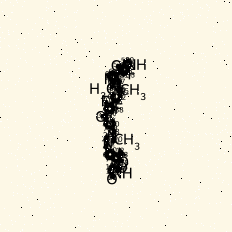 C[C@H]1CN(Cc2ccc3c(c2)C2(CC2)C(=O)N3[C@@H]2CCC(=O)NC2=O)CCN1CC1CCN(C(=O)c2cc(F)c(C3=CCN([C@@H](C)c4cc5c(-n6cc(F)c7c(c6=O)CCN7)ccnc5n4C)CC3)c(F)c2)CC1